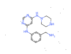 NCc1cccc(Nc2cc(NN3CCNCC3)ncn2)c1